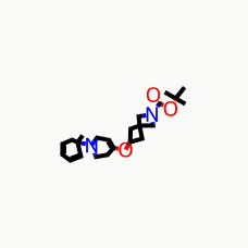 CC(C)(C)OC(=O)N1CC2(CC(OC3=CCN(C4(C)C=CC=CC4)CC3)C2)C1